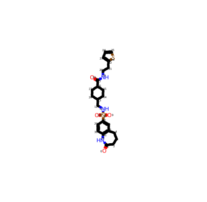 O=C1CCCc2cc(S(=O)(=O)NCC3CCC(C(=O)NCCc4cccs4)CC3)ccc2N1